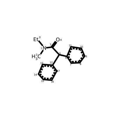 CCN(C)C(=O)C(c1ccccc1)c1ccccc1